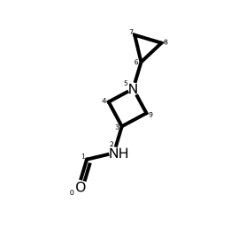 O=CNC1CN(C2CC2)C1